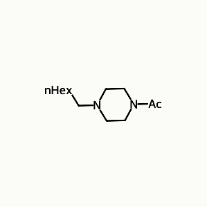 CCCCCCCN1CCN(C(C)=O)CC1